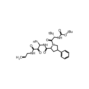 C=CCNC(=O)C(=O)C(CCC)NC(=O)C1CC(c2ccccc2)CN1C(=O)[C@@H](NC(=O)OC(C)(C)C)C(C)(C)C